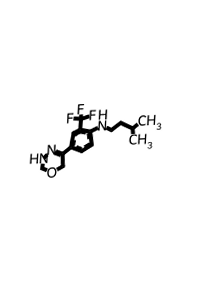 CC(C)CCNc1ccc(C2=NNCOC2)cc1C(F)(F)F